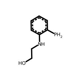 OCCNc1ccccc1P